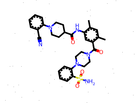 Cc1cc(C)c(C(=O)N2CCN(c3ccccc3S(N)(=O)=O)CC2)cc1NC(=O)C1CCN(c2ccccc2C#N)CC1